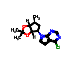 C[C@H]1C[C@@H](n2ccc3c(Cl)ncnc32)[C@@H]2OC(C)(C)O[C@@H]21